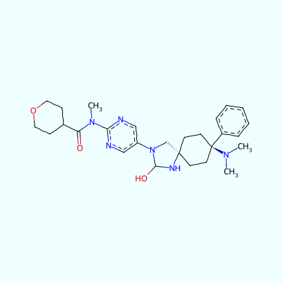 CN(C(=O)C1CCOCC1)c1ncc(N2C[C@]3(CC[C@](c4ccccc4)(N(C)C)CC3)NC2O)cn1